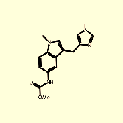 COC(=O)Nc1ccc2c(c1)c(Cc1c[nH]cn1)cn2C